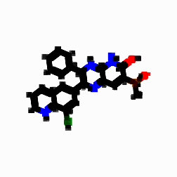 CC[S+]([O-])c1cc2nc(-c3cc(Cl)c4ncccc4c3)c(-c3ccccc3)nc2[nH]c1=O